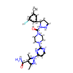 Cc1nn(-c2ccnc(N3CCN(C(=O)N4N=CCC4c4cc(F)cc(C#N)c4)CC3)n2)c(C)c1C(N)=O